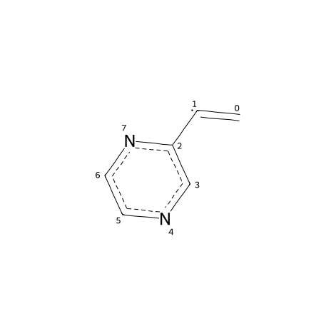 C=[C]c1cnccn1